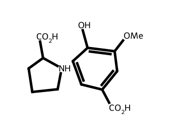 COc1cc(C(=O)O)ccc1O.O=C(O)C1CCCN1